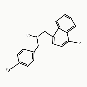 CCN(Cc1ccc(C(F)(F)F)cc1)Cc1ccc(Br)c2ccccc12